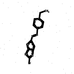 CCc1ccc(N=Nc2cc3sc(Br)nc3s2)cc1